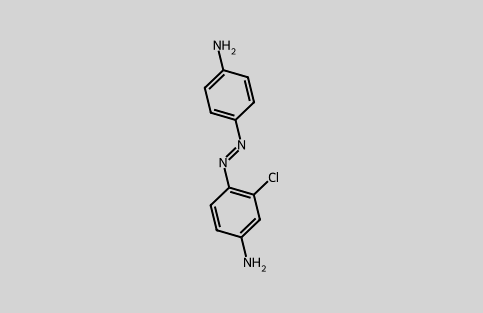 Nc1ccc(N=Nc2ccc(N)cc2Cl)cc1